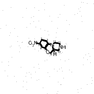 O=[N+]([O-])c1ccc2c(c1)OC[C@H]1CNCCN21